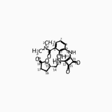 CN(C)C(=O)c1cccc(Nc2c(NC[C@H]3CCC(=O)O3)c(=O)c2=O)c1O